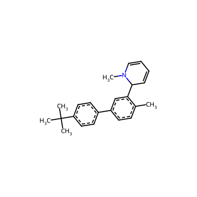 Cc1ccc(-c2ccc(C(C)(C)C)cc2)cc1C1C=CC=CN1C